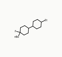 CCCCC1(F)CCC(C2CCC(CC)CC2)CC1